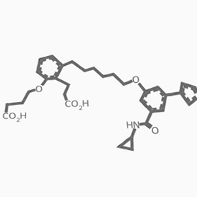 O=C(O)CCCOc1cccc(CCCCCCOc2cc(C(=O)NC3CC3)cc(-c3ccsc3)c2)c1CCC(=O)O